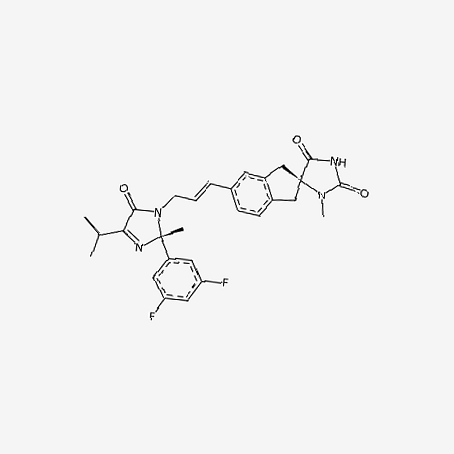 CC(C)C1=N[C@@](C)(c2cc(F)cc(F)c2)N(C/C=C/c2ccc3c(c2)C[C@@]2(C3)C(=O)NC(=O)N2C)C1=O